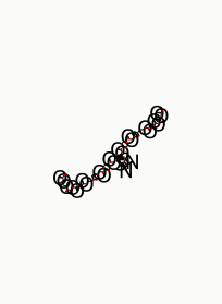 C=CC(=O)OCC(C)OC(=O)CCC(=O)OCCc1ccc(OC(=O)[C@H]2CC[C@H](C(=O)Oc3ccc(OC(=O)[C@H]4CC[C@H](C(=O)Oc5ccc(CCOC(=O)CCC(=O)OCC(C)OCC(C)OC(=O)C=C)cc5)CC4)c4c3SC(=C(C#N)C#N)S4)CC2)cc1